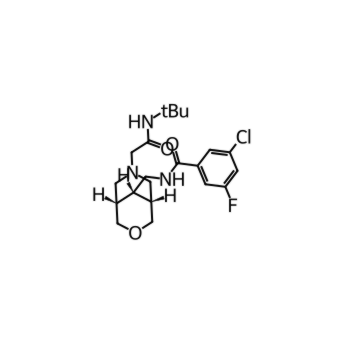 CC(C)(C)NC(=O)CN1C[C@H]2COC[C@@H](C1)[C@H]2CNC(=O)c1cc(F)cc(Cl)c1